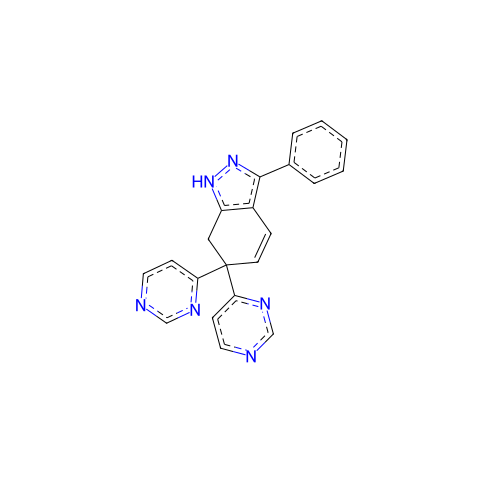 C1=CC(c2ccncn2)(c2ccncn2)Cc2[nH]nc(-c3ccccc3)c21